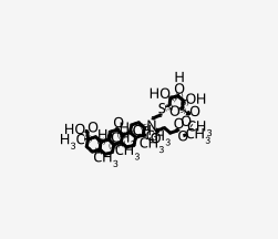 COC(=O)CCC(=O)N(CCS[C@@H]1O[C@H](C(=O)OC)[C@@H](O)[C@H](O)[C@H]1O)[C@H]1CC[C@@]2(C)C(CC[C@]3(C)[C@@H]2C(=O)C=C2[C@@H]4C[C@@](C)(C(=O)O)CC[C@]4(C)CC[C@]23C)C1(C)C